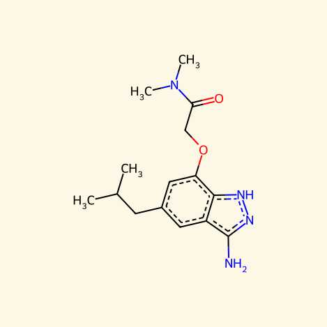 CC(C)Cc1cc(OCC(=O)N(C)C)c2[nH]nc(N)c2c1